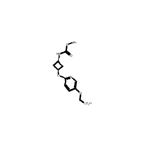 CC(C)(C)OC(=O)N[C@H]1C[C@@H](Oc2ccc(OCC(=O)O)cn2)C1